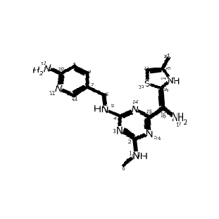 CNc1nc(NCc2ccc(N)nc2)nc(/C(N)=C2/NC(C)=CS2)n1